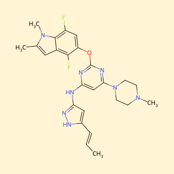 C/C=C/c1cc(Nc2cc(N3CCN(C)CC3)nc(Oc3cc(F)c4c(cc(C)n4C)c3F)n2)n[nH]1